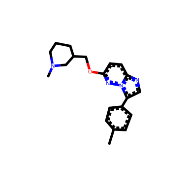 Cc1ccc(-c2cnc3ccc(OCC4CCCN(C)C4)nn23)cc1